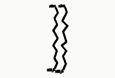 CCCCCCCCCCCCCCCCCCCC(=O)O.CCCCCCCCCCCCCCCCCCCC(=O)O